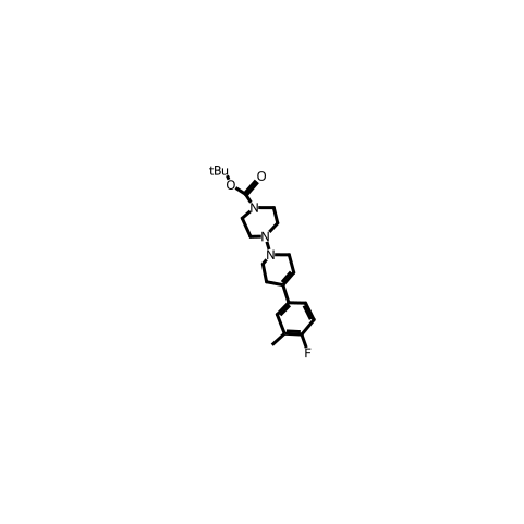 Cc1cc(C2=CCN(N3CCN(C(=O)OC(C)(C)C)CC3)CC2)ccc1F